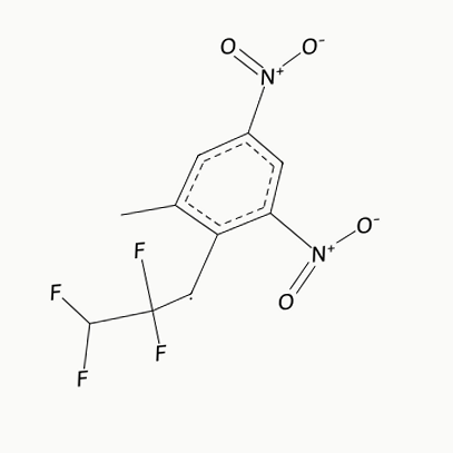 Cc1cc([N+](=O)[O-])cc([N+](=O)[O-])c1[CH]C(F)(F)C(F)F